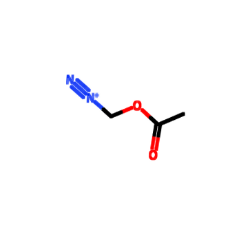 CC(=O)OC[N+]#N